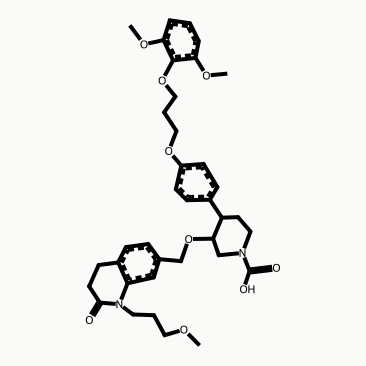 COCCCN1C(=O)CCc2ccc(COC3CN(C(=O)O)CCC3c3ccc(OCCCOc4c(OC)cccc4OC)cc3)cc21